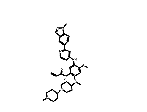 C=CC(=O)Nc1cc(Nc2cc(-c3ccc4c(cnn4C)c3)ncn2)c(OC)cc1N(C)C1CCN(C2CCN(C)CC2)CC1